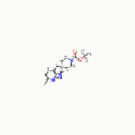 Cc1ccc(CC2(C#N)CCN(C(=O)OC(C)(C)C)CC2)cn1